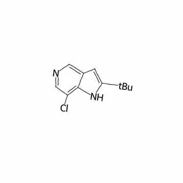 CC(C)(C)c1cc2cncc(Cl)c2[nH]1